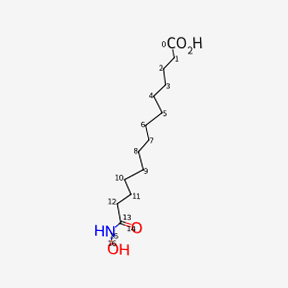 O=C(O)CCCCCCCCCCCCC(=O)NO